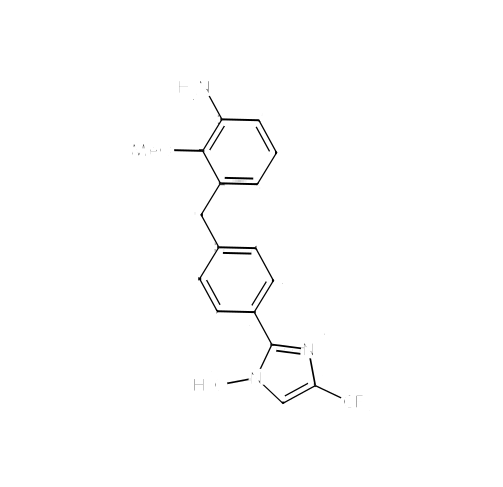 COc1c(N)cccc1Cc1ccc(-c2nc(C(F)(F)F)cn2C)cc1